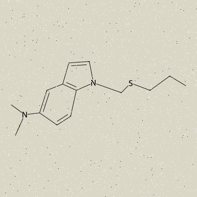 CCCSCn1ccc2cc(N(C)C)ccc21